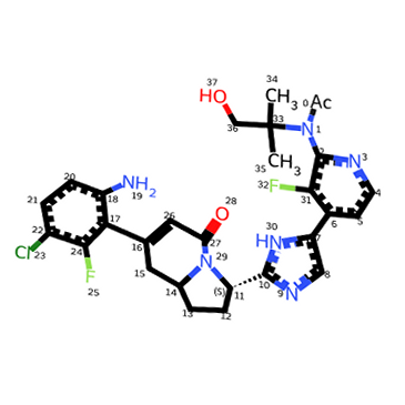 CC(=O)N(c1nccc(-c2cnc([C@@H]3CCC4CC(c5c(N)ccc(Cl)c5F)=CC(=O)N43)[nH]2)c1F)C(C)(C)CO